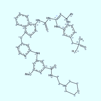 COc1cc(Nc2cc(Oc3ccc(NC(=O)N/C(=C/C(=N)C(C)C)Nc4cccc(CP(C)(C)=O)c4)c4ccccc34)ccn2)cc(C(=O)NCCN2CCOCC2)c1